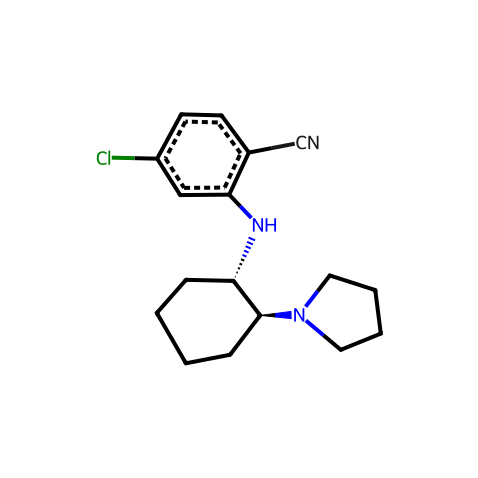 N#Cc1ccc(Cl)cc1N[C@H]1CCCC[C@@H]1N1CCCC1